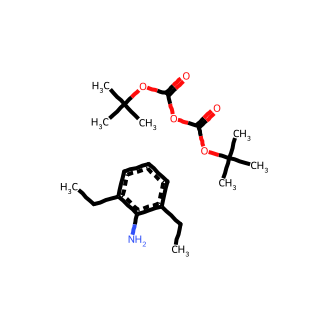 CC(C)(C)OC(=O)OC(=O)OC(C)(C)C.CCc1cccc(CC)c1N